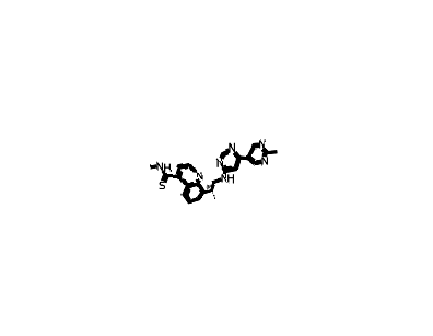 CNC(=S)c1ccnc2c([C@@H](C)CNc3cc(-c4cnc(C)nc4)ncn3)cccc12